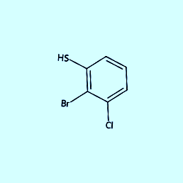 Sc1cccc(Cl)c1Br